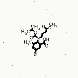 COC(=O)CCCN(C(=O)OC(C)C)c1c(C)cc(Br)cc1C(=O)O